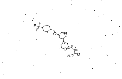 O=C(O)[C@@H]1C[C@H]1[C@@H]1CN(c2cncc(OCC3CCC(C(F)(F)F)CC3)c2)CCO1